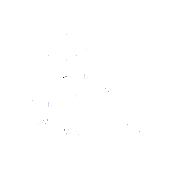 COC(=O)Nc1ccc(S(=O)(=O)C2CC2)c([C@H]2[C@@H](C(=O)O)CCN2C(=O)C(Nc2cc(C(N)=O)ccc2F)c2ccc(F)c(OC)c2)c1